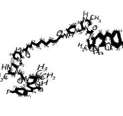 C[C@@H]1CN(CC(=O)N2CC(C)(C)c3[nH]c(=O)c(Cc4ccc(F)cc4)cc32)[C@@H](CN2CCCC(NC(=O)CCCCCCCCC(=O)NC3CCCN(C[C@H]4CN[C@H](C)CN4CC(=O)N4CC(C)(C)c5[nH]c(=O)c(Cc6ccc(F)cc6)cc54)C3)C2)CN1